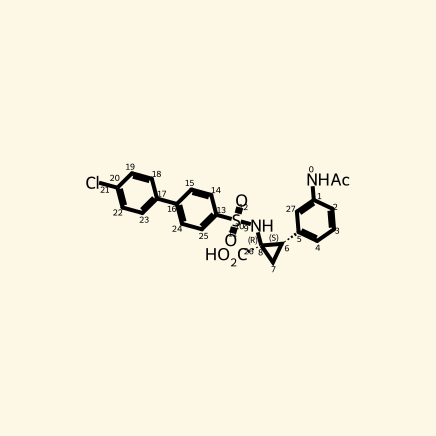 CC(=O)Nc1cccc([C@@H]2C[C@]2(NS(=O)(=O)c2ccc(-c3ccc(Cl)cc3)cc2)C(=O)O)c1